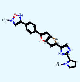 CN1C=C(c2ccc(-c3cc4sc(-c5cnc(C6CCCN6C=O)[nH]5)cc4o3)cc2)NO1